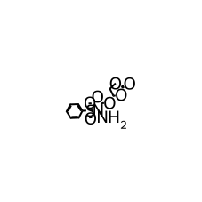 NN(C(=O)OC1COC(=O)O1)S(=O)(=O)c1ccccc1